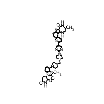 C[C@@H]1CNc2c(sc3ccc4nc(-c5cnc(N6CCN(CC7CCN(c8cccc9c8n(C)c(=O)n9C8CCC(=O)NC8=O)CC7)CC6)nc5)ccc4c23)C(=O)N1